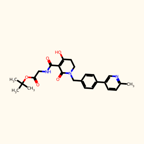 Cc1ccc(-c2ccc(CN3CCC(O)=C(C(=O)NCC(=O)OC(C)(C)C)C3=O)cc2)cn1